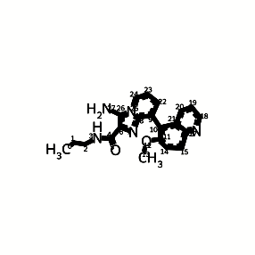 CCCNC(=O)c1nc2c(-c3c(OC)ccc4ncccc34)cccn2c1N